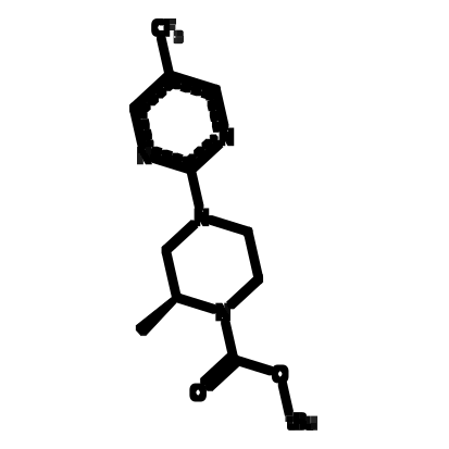 C[C@H]1CN(c2ncc(C(F)(F)F)cn2)CCN1C(=O)OC(C)(C)C